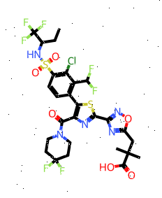 CCC(NS(=O)(=O)c1ccc(-c2sc(-c3noc(CC(C)(C)C(=O)O)n3)nc2C(=O)N2CCC(F)(F)CC2)c(C(F)F)c1Cl)C(F)(F)F